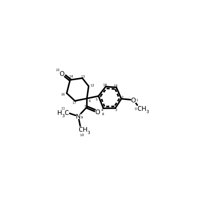 COc1ccc(C2(C(=O)N(C)C)CCC(=O)CC2)cc1